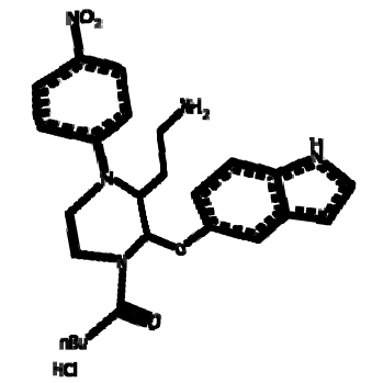 CCCCC(=O)N1CCN(c2ccc([N+](=O)[O-])cc2)C(CCN)C1Oc1ccc2[nH]ccc2c1.Cl